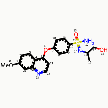 COc1ccc2c(Oc3ccc(S(N)(=O)=NC(C)CO)cc3)ccnc2c1